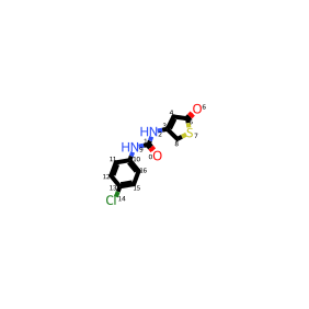 O=C(NC1=CC(=O)SC1)Nc1ccc(Cl)cc1